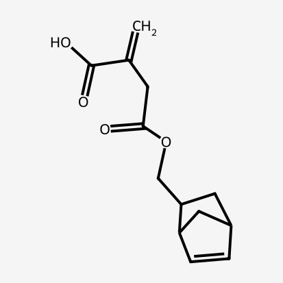 C=C(CC(=O)OCC1CC2C=CC1C2)C(=O)O